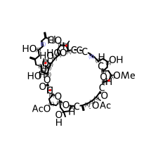 C=C(Cl)/C=C/[C@@H](O)CC(=C)C[C@H]1O[C@@H]2[C@H](C)[C@@H](OC(=O)C[C@H]3C[C@H](OC(C)=O)C[C@@]4(CC(C)(O)C[C@H](CC(=C)[C@@H](C)[C@H](OC(C)=O)[C@H](C)C(=O)C[C@@H]5C[C@H](OC)C[C@@]6(C[C@@H](O)C[C@H](/C=C\CCC[C@H]7O[C@](O)(C[C@H](O)[C@H]7C)[C@H]2O)C6)O5)O4)O3)[C@@H]1O